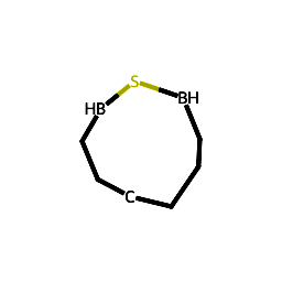 B1CCCCCCBS1